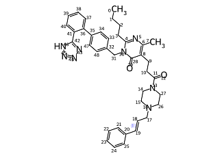 CCCCc1nc(C)c(CCC(=O)N2CCN(C/C=C/c3ccccc3)CC2)c(=O)n1Cc1ccc(-c2ccccc2-c2nnn[nH]2)cc1